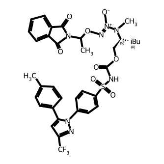 CC[C@@H](C)[C@@H](COC(=O)NS(=O)(=O)c1ccc(-n2nc(C(F)(F)F)cc2-c2ccc(C)cc2)cc1)N(C)[N+]([O-])=NOC(C)N1C(=O)c2ccccc2C1=O